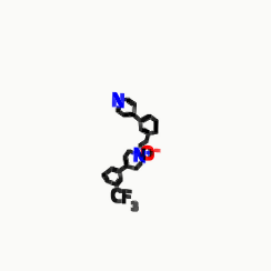 [O-][N+]1(CCc2cccc(-c3ccncc3)c2)CC=C(c2cccc(C(F)(F)F)c2)CC1